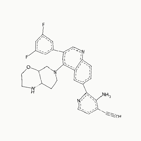 C#Cc1ccnc(-c2ccc3ncc(-c4cc(F)cc(F)c4)c(N4CCC5NCCOC5C4)c3c2)c1N